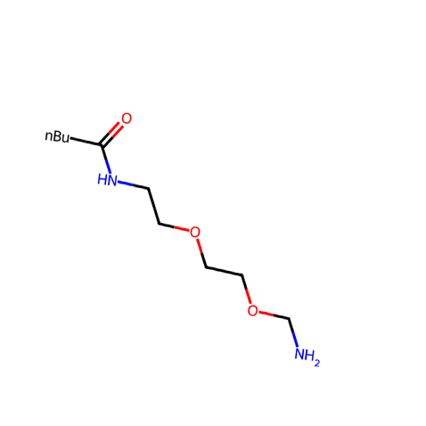 CCCCC(=O)NCCOCCOCN